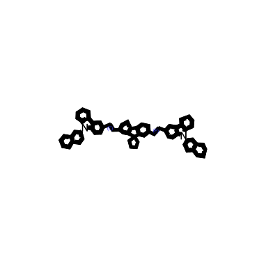 C(=C\c1ccc2c(c1)c1ccccc1n2-c1ccc2ccccc2c1)/c1ccc2c(c1)C1(CCCC1)c1cc(/C=C/c3ccc4c(c3)c3ccccc3n4-c3ccc4ccccc4c3)ccc1-2